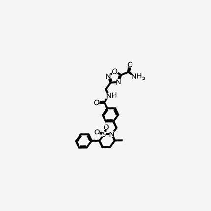 CC1CCC(c2ccccc2)S(=O)(=O)N1Cc1ccc(C(=O)NCc2noc(C(N)=O)n2)cc1